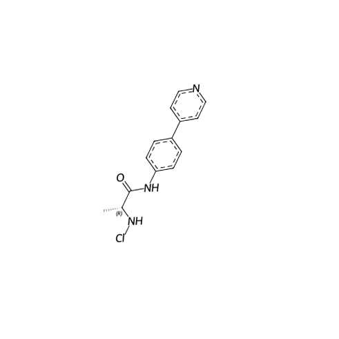 C[C@@H](NCl)C(=O)Nc1ccc(-c2ccncc2)cc1